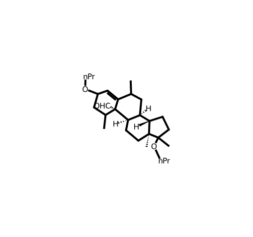 CCCOC1C=C2C(C)C[C@@H]3[C@@H](CC[C@@]4(C)[C@H]3CCC4(C)OCCC)[C@@]2(C=O)C(C)C1